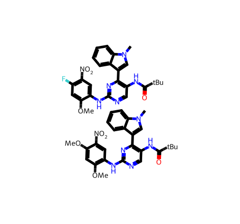 COc1cc(F)c([N+](=O)[O-])cc1Nc1ncc(NC(=O)C(C)(C)C)c(-c2cn(C)c3ccccc23)n1.COc1cc(OC)c([N+](=O)[O-])cc1Nc1ncc(NC(=O)C(C)(C)C)c(-c2cn(C)c3ccccc23)n1